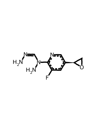 N/N=C\N(N)c1ncc([C@H]2CO2)cc1F